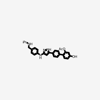 CC(=O)Oc1cc(O)ccc1-c1ccc(-c2cc(Nc3ccc(CNC(C)C)cc3)n[nH]2)cc1